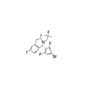 C[C@@H]1Cc2cc(I)ccc2[C@@H](c2c(F)cc(Br)cc2F)N1CC(C)(C)F